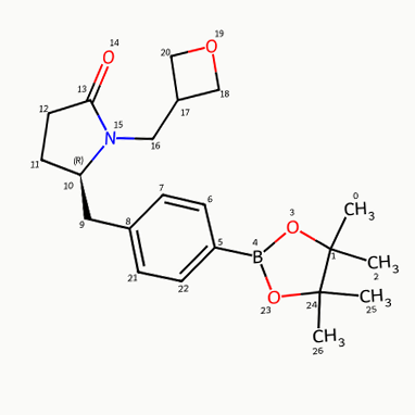 CC1(C)OB(c2ccc(C[C@H]3CCC(=O)N3CC3COC3)cc2)OC1(C)C